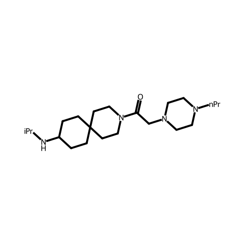 CCCN1CCN(CC(=O)N2CCC3(CCC(NC(C)C)CC3)CC2)CC1